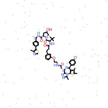 Cc1ncsc1-c1ccc([C@H](C)NC(=O)[C@@H]2C[C@@H](O)CN2C(=O)[C@@H](NC(=O)CCc2cccc(OCCNC(=O)C[C@@H]3N=C(c4ccc(Cl)cc4)c4c(sc(C)c4C)-n4c(C)nnc43)c2)C(C)(C)C)cc1